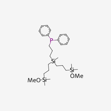 CO[Si](C)(C)CCC[Si](C)(CCCP(c1ccccc1)c1ccccc1)CCC[Si](C)(C)OC